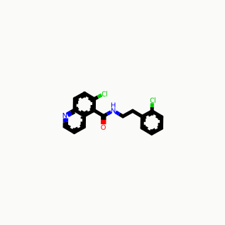 O=C(NCCc1ccccc1Cl)c1c(Cl)ccc2ncccc12